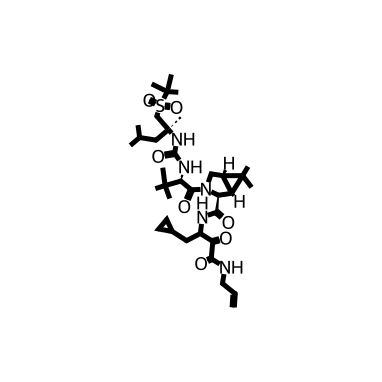 C=CCNC(=O)C(=O)C(CC1CC1)NC(=O)[C@@H]1[C@@H]2[C@H](CN1C(=O)[C@@H](NC(=O)N[C@@](C)(CC(C)C)CS(=O)(=O)C(C)(C)C)C(C)(C)C)C2(C)C